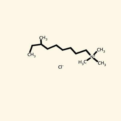 CCC(C)CCCCCC[N+](C)(C)C.[Cl-]